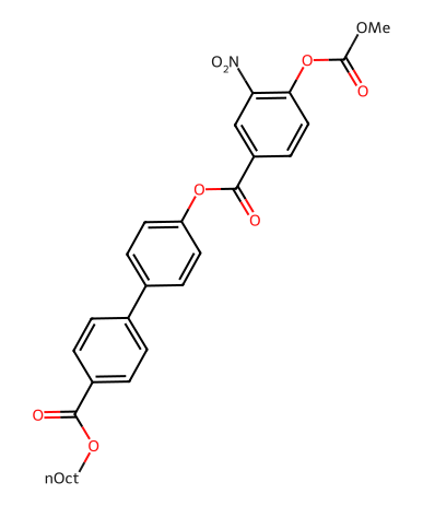 CCCCCCCCOC(=O)c1ccc(-c2ccc(OC(=O)c3ccc(OC(=O)OC)c([N+](=O)[O-])c3)cc2)cc1